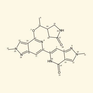 CC(Oc1nc(-c2cc3nn(C)cc3c(=O)[nH]2)cc2nn(C)cc12)C1CNC(=O)C1